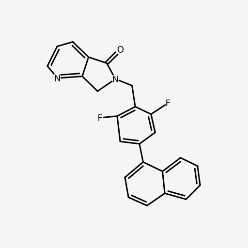 O=C1c2cccnc2CN1Cc1c(F)cc(-c2cccc3ccccc23)cc1F